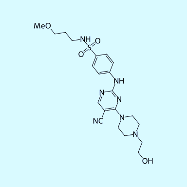 COCCCNS(=O)(=O)c1ccc(Nc2ncc(C#N)c(N3CCN(CCO)CC3)n2)cc1